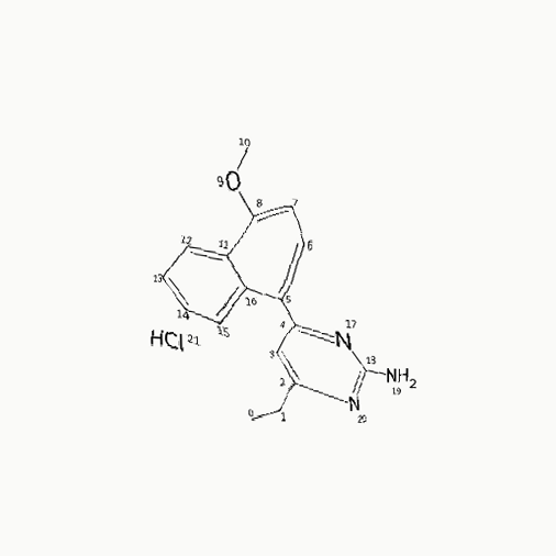 CCc1cc(-c2ccc(OC)c3ccccc23)nc(N)n1.Cl